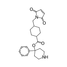 O=C(OC1(c2ccccc2)CCNCC1)C1CCC(CN2C(=O)C=CC2=O)CC1